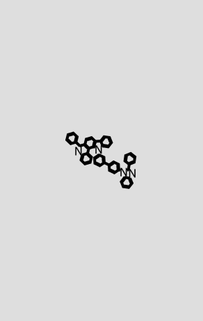 c1ccc(-c2nc3ccccc3c3c2ccc2c4ccccc4n(-c4cccc(-c5ccc(-n6c(-c7ccccc7)nc7ccccc76)cc5)c4)c23)cc1